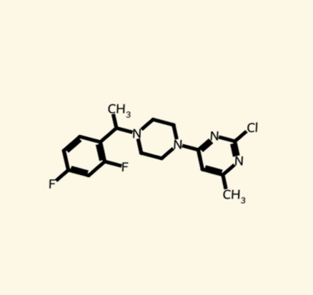 Cc1cc(N2CCN(C(C)c3ccc(F)cc3F)CC2)nc(Cl)n1